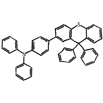 c1ccc(N(c2ccccc2)c2ccc(-c3ccc4c(c3)C(c3ccccc3)(c3ccccc3)c3ccccc3S4)cc2)cc1